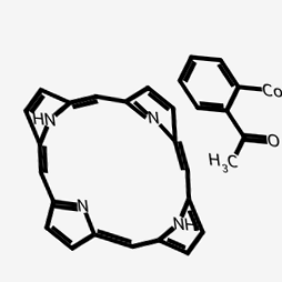 C1=Cc2cc3ccc(cc4nc(cc5ccc(cc1n2)[nH]5)C=C4)[nH]3.CC(=O)c1cccc[c]1[Co]